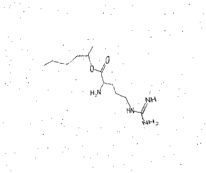 CCCCC(C)OC(=O)C(N)CCCNC(=N)N